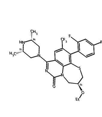 CCO[C@@H]1CSc2c(-c3ccc(F)cc3F)c(C(F)(F)F)cc3c(N4C[C@@H](C)N[C@@H](C)C4)nc(=O)n(c23)C1